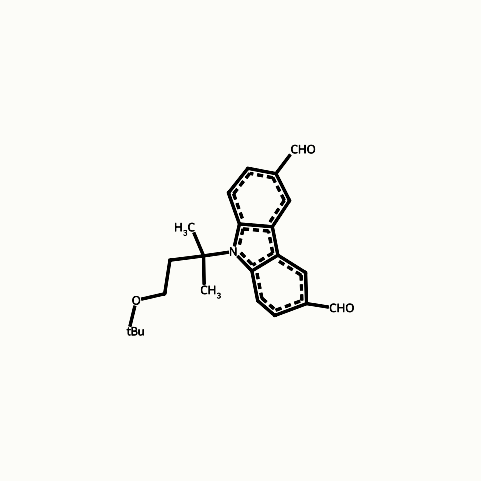 CC(C)(C)OCCC(C)(C)n1c2ccc(C=O)cc2c2cc(C=O)ccc21